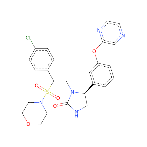 O=C1NC[C@H](c2cccc(Oc3cnccn3)c2)N1CC(c1ccc(Cl)cc1)S(=O)(=O)N1CCOCC1